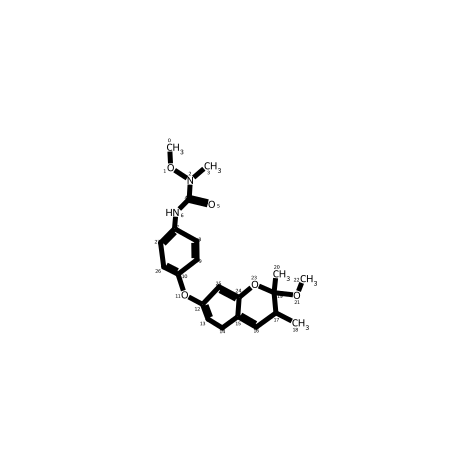 CON(C)C(=O)Nc1ccc(OC2=CCC3=CC(C)C(C)(OC)OC3=C2)cc1